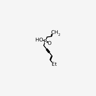 C=CCP(=O)(O)CC#CC=CCC